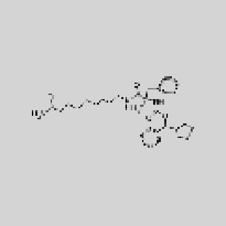 CC(Cc1ccccc1)(NC(=O)OC(c1ccccc1)C1CCCC1)C(=O)NCCCCCCCCC(N)=O